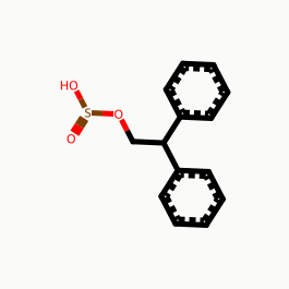 O=S(O)OCC(c1ccccc1)c1ccccc1